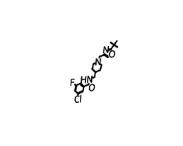 CC(C)(C)c1nc(CN2CCC(CNC(=O)c3cc(F)cc(Cl)c3)CC2)co1